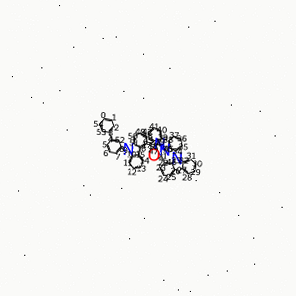 c1ccc(-c2cccc(-n3c4ccccc4c4c(-c5nnc(-c6cccc7c8ccccc8n(-c8cccc(-c9ccccc9)c8)c67)o5)cccc43)c2)cc1